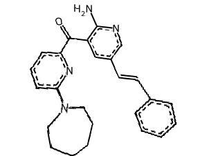 Nc1ncc(/C=C/c2ccccc2)cc1C(=O)c1cccc(N2CCCCCC2)n1